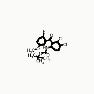 COc1ccc(F)c(C(=O)c2c(NC(=O)OC(C)(C)C)ccc(Cl)c2Cl)c1